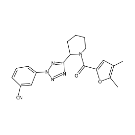 Cc1cc(C(=O)N2CCCCC2c2nnn(-c3cccc(C#N)c3)n2)oc1C